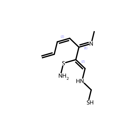 C=C\C=C/C(=N\C)C(=C/NCS)/SN